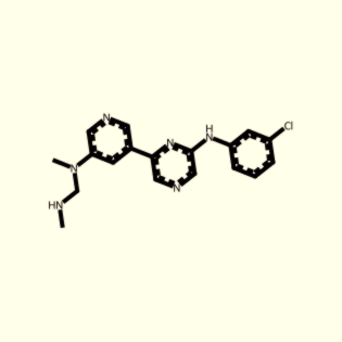 CNCN(C)c1cncc(-c2cncc(Nc3cccc(Cl)c3)n2)c1